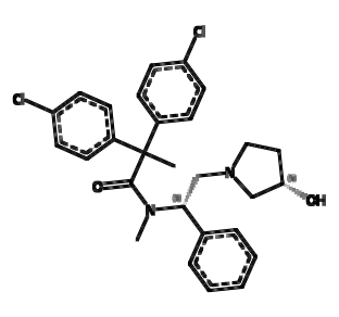 CN(C(=O)C(C)(c1ccc(Cl)cc1)c1ccc(Cl)cc1)[C@H](CN1CC[C@H](O)C1)c1ccccc1